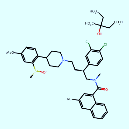 COc1ccc(C2CCN(CC[C@H](CN(C)C(=O)c3cc(C#N)cc4ccccc34)c3ccc(Cl)c(Cl)c3)CC2)c([S@+](C)[O-])c1.O=C(O)CC(O)(CC(=O)O)C(=O)O